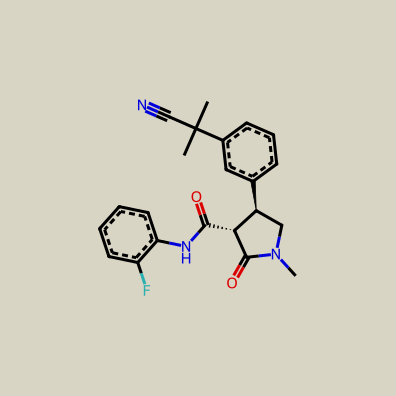 CN1C[C@H](c2cccc(C(C)(C)C#N)c2)[C@@H](C(=O)Nc2ccccc2F)C1=O